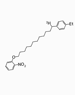 [2H]C(CCCCCCCCCCCOc1ccccc1[N+](=O)[O-])c1ccc(CC)cc1